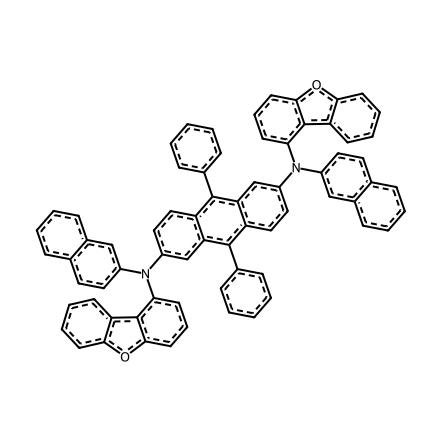 c1ccc(-c2c3ccc(N(c4ccc5ccccc5c4)c4cccc5oc6ccccc6c45)cc3c(-c3ccccc3)c3ccc(N(c4ccc5ccccc5c4)c4cccc5oc6ccccc6c45)cc23)cc1